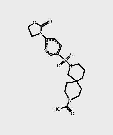 O=C(O)N1CCC2(CCCN(S(=O)(=O)c3ccc(N4CCOC4=O)nc3)C2)CC1